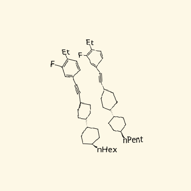 CCCCCC[C@H]1CC[C@H](C2CCC(C#Cc3ccc(CC)c(F)c3)CC2)CC1.CCCCC[C@H]1CC[C@H](C2CCC(C#Cc3ccc(CC)c(F)c3)CC2)CC1